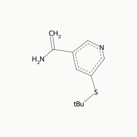 C=C(N)c1cncc(SC(C)(C)C)c1